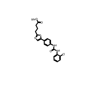 COC(=O)CCCc1ncc(-c2ccc(NC(=O)Nc3ccccc3Cl)cc2)s1